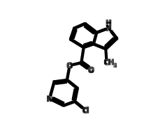 Cc1c[nH]c2cccc(C(=O)Oc3cncc(Cl)c3)c12